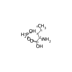 CCCC(N)C(=O)O.O=[PH2]O